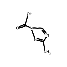 Nc1ncn(C(=O)O)n1